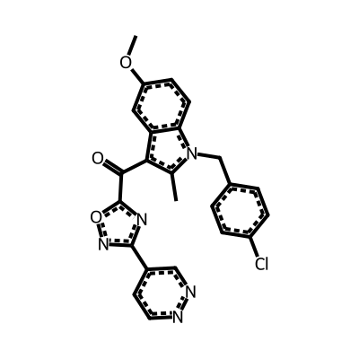 COc1ccc2c(c1)c(C(=O)c1nc(-c3ccnnc3)no1)c(C)n2Cc1ccc(Cl)cc1